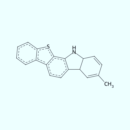 CC1=CC2c3ccc4c(sc5ccccc54)c3NC2C=C1